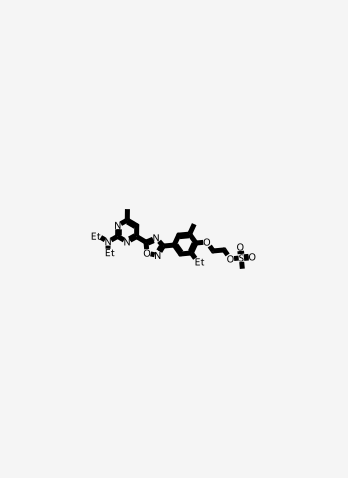 CCc1cc(-c2noc(-c3cc(C)nc(N(CC)CC)n3)n2)cc(C)c1OCCOS(C)(=O)=O